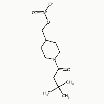 CC(C)(C)CC(=O)N1CCC(CO[N+](=O)[O-])CC1